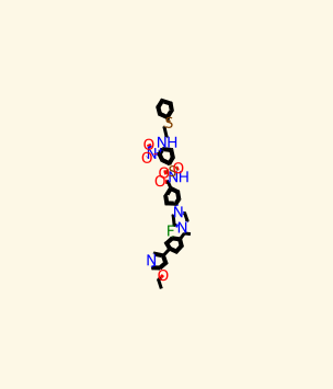 CCOc1cncc(-c2ccc(C(C)N3CCN(c4ccc(C(=O)NS(=O)(=O)c5ccc(NCCSc6ccccc6)c([N+](=O)[O-])c5)cc4)CC3)c(F)c2)c1